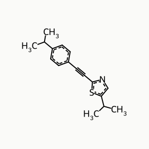 CC(C)c1ccc(C#Cc2ncc(C(C)C)s2)cc1